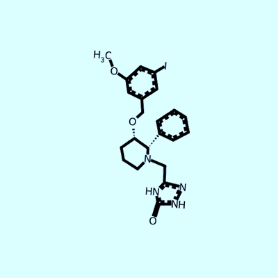 COc1cc(I)cc(CO[C@H]2CCCN(Cc3n[nH]c(=O)[nH]3)[C@H]2c2ccccc2)c1